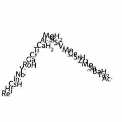 [Ac].[Al].[BaH2].[CaH2].[Cr].[CsH].[Ga].[Ge].[Hf].[In].[MgH2].[Mn].[Mo].[Nb].[RbH].[Re].[Sc].[Si].[Sn].[SrH2].[Ta].[Ti].[V].[Y].[Zr]